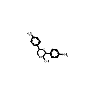 Nc1ccc(C(CO)OC(CO)c2ccc(N)cc2)cc1